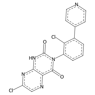 O=c1[nH]c2nc(Cl)cnc2c(=O)n1-c1cccc(-c2ccncc2)c1Cl